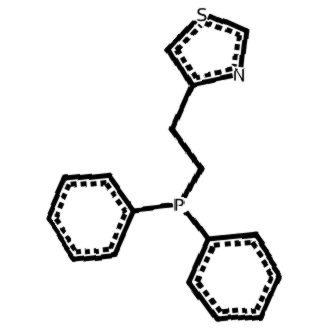 c1ccc(P(CCc2cscn2)c2ccccc2)cc1